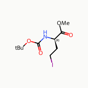 COC(=O)[C@@H](CCI)NC(=O)OC(C)(C)C